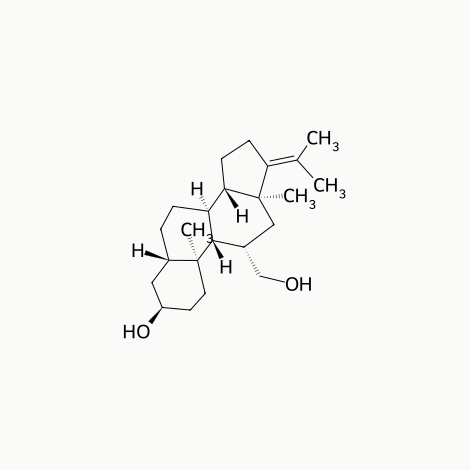 CC(C)=C1CC[C@H]2[C@@H]3CC[C@H]4C[C@H](O)CC[C@]4(C)[C@H]3[C@@H](CO)C[C@]12C